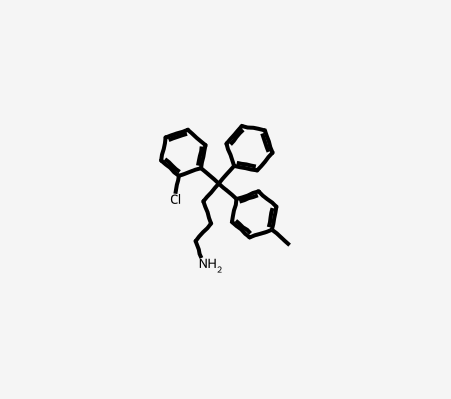 Cc1ccc(C(CCCN)(c2ccccc2)c2ccccc2Cl)cc1